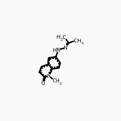 CC(C)=NNc1ccc2c(ccc(=O)n2C)c1